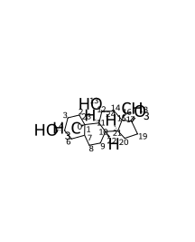 C[C@]12CC[C@@H](O)CC1CC[C@@H]1[C@@H]2C(O)C[C@]2(C)C(=O)CC[C@@H]12